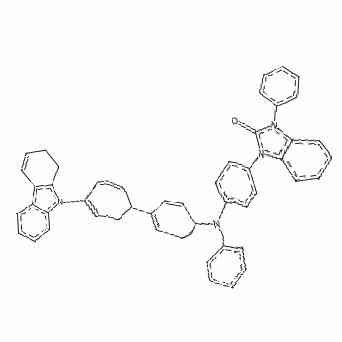 O=c1n(-c2ccccc2)c2ccccc2n1-c1ccc(N(c2ccccc2)C2C=CC(C3C=CC(n4c5c(c6ccccc64)C=CCC5)=CC3)=CC2)cc1